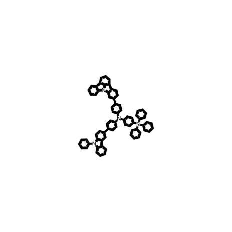 c1ccc(-n2c3ccccc3c3cc(-c4ccc(N(c5ccc(-c6ccc7c8cccc9c%10ccccc%10n(c7c6)c98)cc5)c5ccc([Si](c6ccccc6)(c6ccccc6)c6ccccc6)cc5)cc4)ccc32)cc1